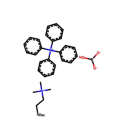 CCCCCCCCCCCC[N+](C)(C)C.[O-]B([O-])O.c1ccc([N+](c2ccccc2)(c2ccccc2)c2ccccc2)cc1